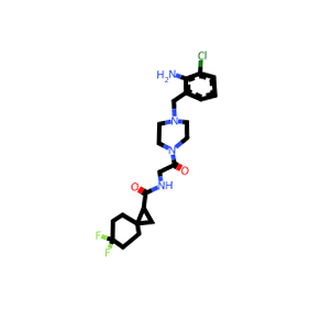 Nc1c(Cl)cccc1CN1CCN(C(=O)CNC(=O)C2CC23CCC(F)(F)CC3)CC1